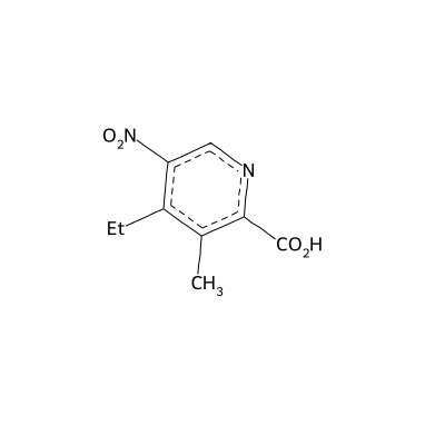 CCc1c([N+](=O)[O-])cnc(C(=O)O)c1C